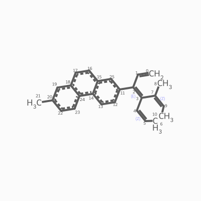 C=C/C(=C(/C=C\C)C(\C)=C/C)c1ccc2c(ccc3cc(C)ccc32)c1